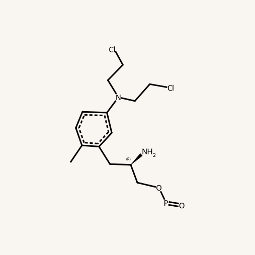 Cc1ccc(N(CCCl)CCCl)cc1C[C@@H](N)COP=O